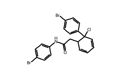 O=C(CC1C=CC=CC1(Cl)c1ccc(Br)cc1)Nc1ccc(Br)cc1